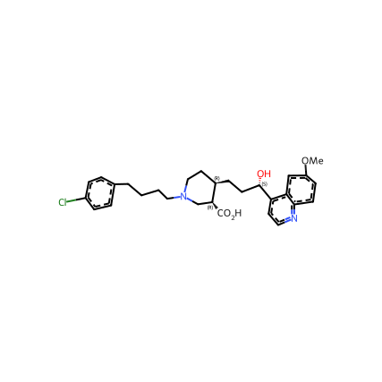 COc1ccc2nccc([C@@H](O)CC[C@@H]3CCN(CCCCc4ccc(Cl)cc4)C[C@@H]3C(=O)O)c2c1